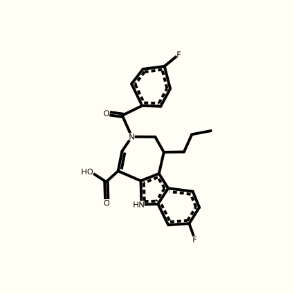 CCCC1CN(C(=O)c2ccc(F)cc2)C=C(C(=O)O)c2[nH]c3cc(F)ccc3c21